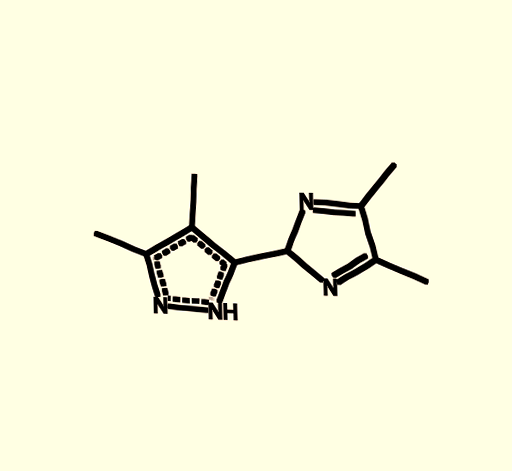 CC1=NC(c2[nH]nc(C)c2C)N=C1C